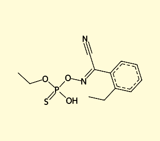 CCOP(O)(=S)ON=C(C#N)c1ccccc1CC